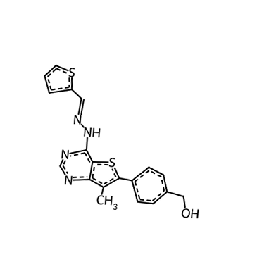 Cc1c(-c2ccc(CO)cc2)sc2c(NN=Cc3cccs3)ncnc12